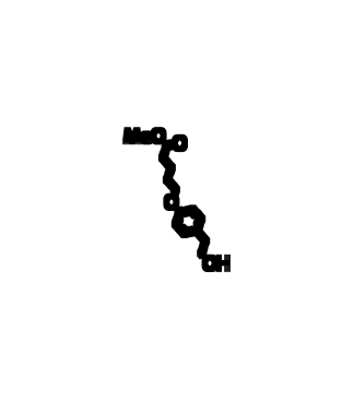 COC(=O)CCCCOc1ccc(CCO)cc1